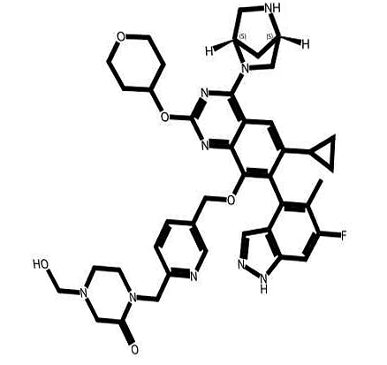 Cc1c(F)cc2[nH]ncc2c1-c1c(C2CC2)cc2c(N3C[C@@H]4C[C@H]3CN4)nc(OC3CCOCC3)nc2c1OCc1ccc(CN2CCN(CO)CC2=O)nc1